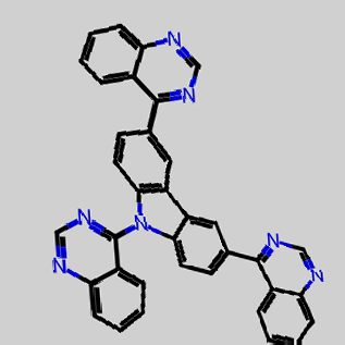 c1ccc2c(-c3ccc4c(c3)c3cc(-c5ncnc6ccccc56)ccc3n4-c3ncnc4ccccc34)ncnc2c1